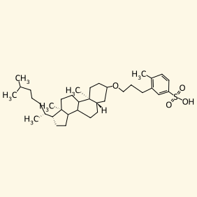 Cc1ccc(S(=O)(=O)O)cc1CCCOC1CC[C@]2(C)C3CC[C@@]4(C)C(CC[C@@H]4[C@H](C)CCCC(C)C)C3CC[C@H]2C1